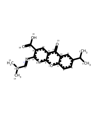 CC(C)c1ccc2oc3nc(/N=C/N(C)C)c(C(=O)O)cc3c(=O)c2c1